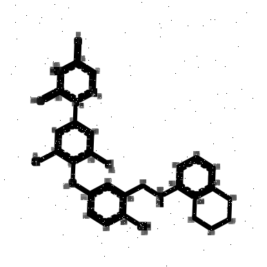 O=c1cnn(-c2cc(Cl)c(Oc3ccc(O)c(CNc4cccc5c4CCCC5)c3)c(Cl)c2)c(=O)[nH]1